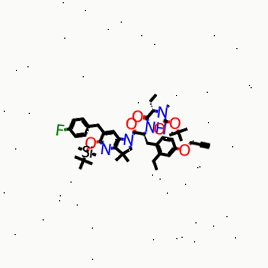 C#CCOc1ccc(C[C@H](NC(=O)[C@H](CC)N(C)C(=O)OC(C)(C)C)C(=O)N2CC(C)(C)c3nc(O[Si](C)(C)C(C)(C)C)c(Cc4ccc(F)cc4)cc32)c(CC)c1